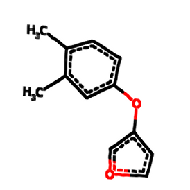 Cc1ccc(Oc2ccoc2)cc1C